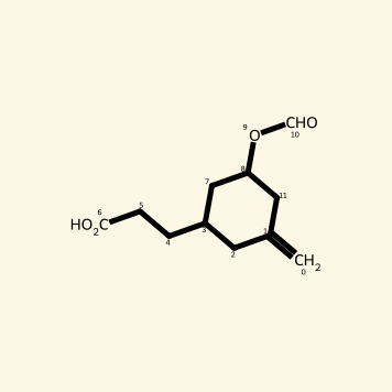 C=C1CC(CCC(=O)O)CC(OC=O)C1